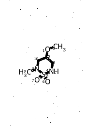 COC1CNS(=O)(=O)N(C)C1